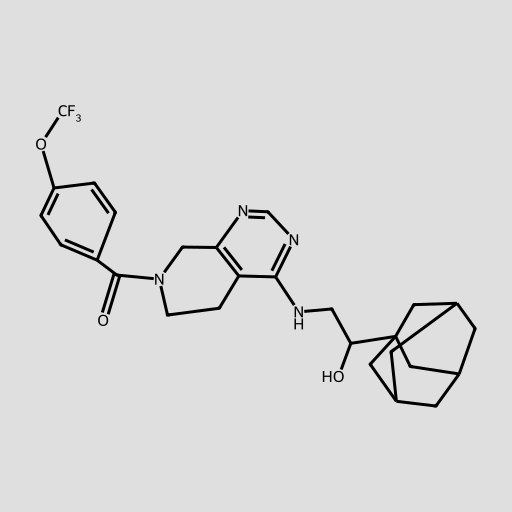 O=C(c1ccc(OC(F)(F)F)cc1)N1CCc2c(ncnc2NCC(O)C23CC4CC(CC(C4)C2)C3)C1